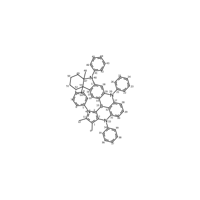 Cc1c2c(n(-c3ccccc3)c1C)B1c3cc4c(cc3N(c3ccccc3)c3cccc(c31)N2c1ccccc1)N(c1ccccc1)C1(C)CCCCC41C